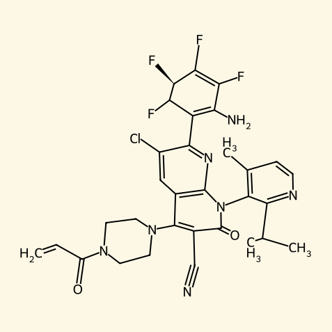 C=CC(=O)N1CCN(c2c(C#N)c(=O)n(-c3c(C)ccnc3C(C)C)c3nc(C4=C(N)C(F)=C(F)[C@H](F)C4F)c(Cl)cc23)CC1